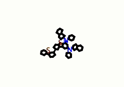 c1ccc(N(c2ccc3ccccc3c2)c2cc(N(c3ccccc3)c3ccc4ccccc4c3)c3sc4ccc(-c5cccc6c5sc5ccccc56)cc4c3c2)cc1